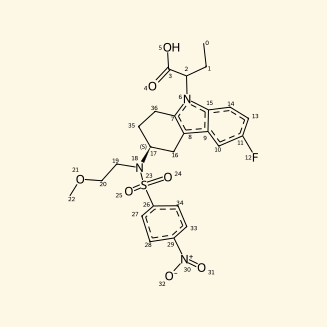 CCC(C(=O)O)n1c2c(c3cc(F)ccc31)C[C@@H](N(CCOC)S(=O)(=O)c1ccc([N+](=O)[O-])cc1)CC2